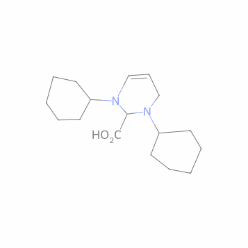 O=C(O)C1N(C2CCCCC2)C=CCN1C1CCCCC1